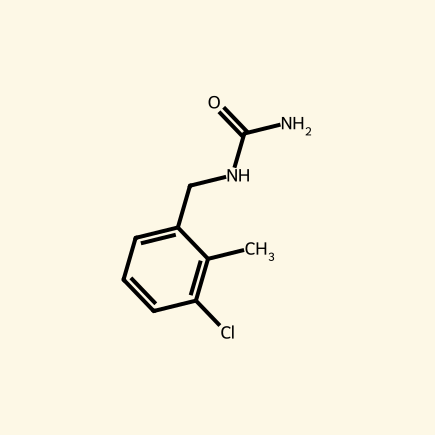 Cc1c(Cl)cccc1CNC(N)=O